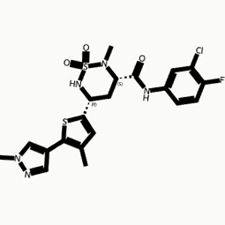 Cc1cc([C@H]2C[C@@H](C(=O)Nc3ccc(F)c(Cl)c3)N(C)S(=O)(=O)N2)sc1-c1cnn(C)c1